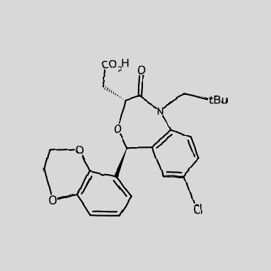 CC(C)(C)CN1C(=O)[C@@H](CC(=O)O)O[C@H](c2cccc3c2OCCO3)c2cc(Cl)ccc21